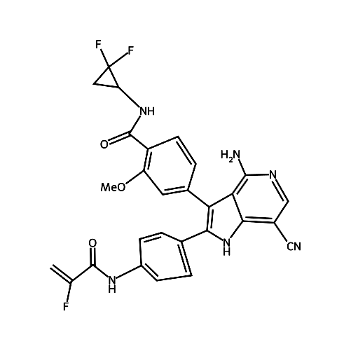 C=C(F)C(=O)Nc1ccc(-c2[nH]c3c(C#N)cnc(N)c3c2-c2ccc(C(=O)NC3CC3(F)F)c(OC)c2)cc1